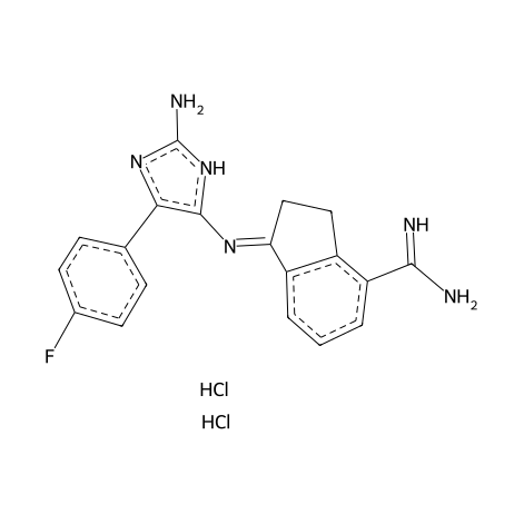 Cl.Cl.N=C(N)c1cccc2c1CCC2=Nc1[nH]c(N)nc1-c1ccc(F)cc1